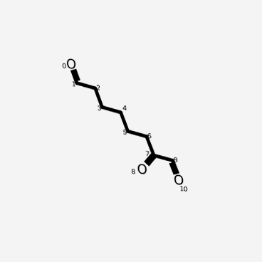 O=CCCCCCC(=O)C=O